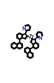 C1=[C]([Zr][C]2=Cc3c(-c4cccc5ccccc45)cccc3C2c2ccccn2)C(c2ccccn2)c2cccc(-c3cccc4ccccc34)c21